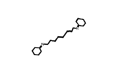 C(CCCCN=C1CCCCC1)CCCN=C1CCCCC1